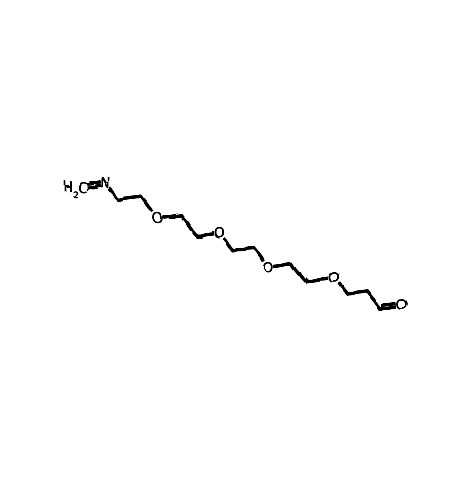 C=NCCOCCOCCOCCOCCC=O